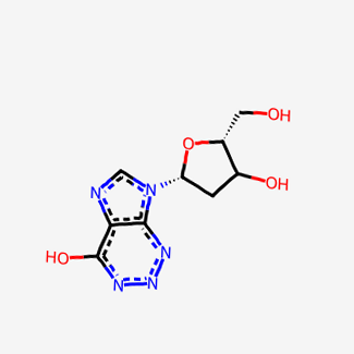 OC[C@H]1O[C@@H](n2cnc3c(O)nnnc32)CC1O